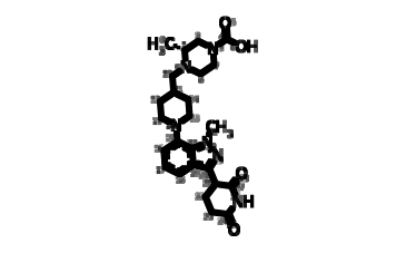 C[C@@H]1CN(C(=O)O)CCN1CC1CCN(c2cccc3c(C4CCC(=O)NC4=O)nn(C)c23)CC1